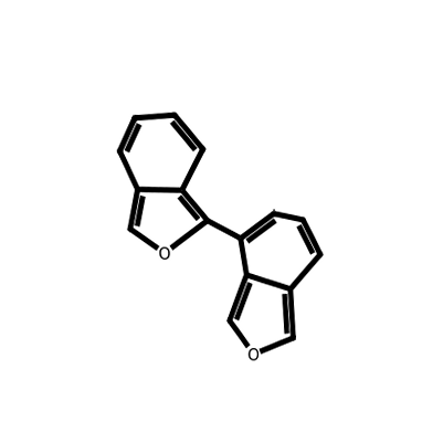 [c]1ccc2cocc2c1-c1occ2ccccc12